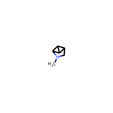 CN1CC2C3C2C31